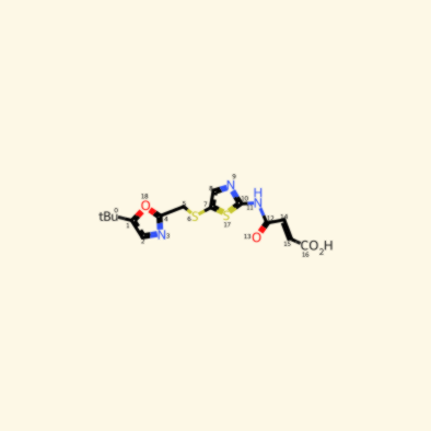 CC(C)(C)c1cnc(CSc2cnc(NC(=O)C=CC(=O)O)s2)o1